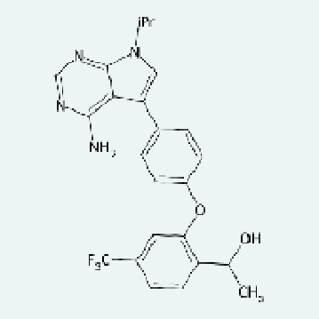 CC(O)c1ccc(C(F)(F)F)cc1Oc1ccc(-c2cn(C(C)C)c3ncnc(N)c23)cc1